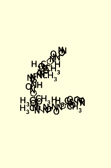 Cn1nc(C[n+]2ccc(NC(=O)N3CCC(C(C)(C)S(=O)(=O)c4ccc5ccnn5c4)CC3)cn2)cc1S(=O)(=O)C(C)(C)C1CCN(C(=O)Nc2cn[n+](Cc3cc(S(=O)(=O)C(C)(C)C4CCN(C(=O)Nc5ccnnc5)CC4)n(C)n3)s2)CC1